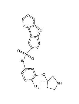 C[C@@]1(Oc2cc(NS(=O)(=O)c3ccc4oc5ccccc5c4c3)ccc2C(F)(F)F)CCNC1